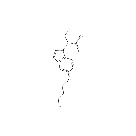 CCC(C(=O)O)n1ccc2cc(OCCCBr)ccc21